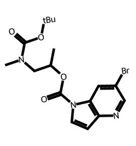 CC(CN(C)C(=O)OC(C)(C)C)OC(=O)n1ccc2ncc(Br)cc21